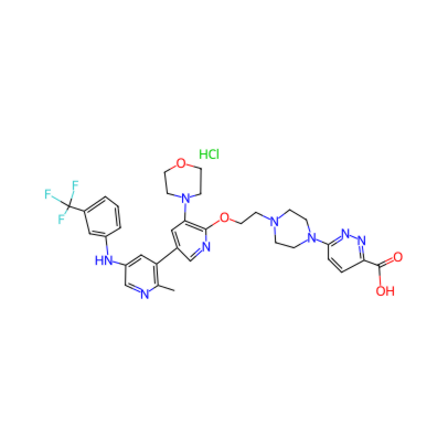 Cc1ncc(Nc2cccc(C(F)(F)F)c2)cc1-c1cnc(OCCN2CCN(c3ccc(C(=O)O)nn3)CC2)c(N2CCOCC2)c1.Cl